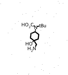 CC(C)(C)N(C(=O)O)[C@H]1CC[C@](O)(CN)CC1